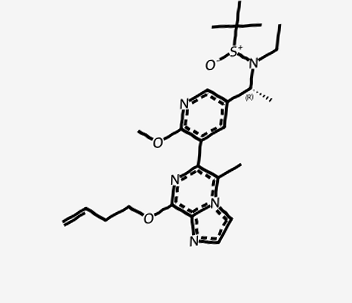 C=CCCOc1nc(-c2cc([C@@H](C)N(CC)[S+]([O-])C(C)(C)C)cnc2OC)c(C)n2ccnc12